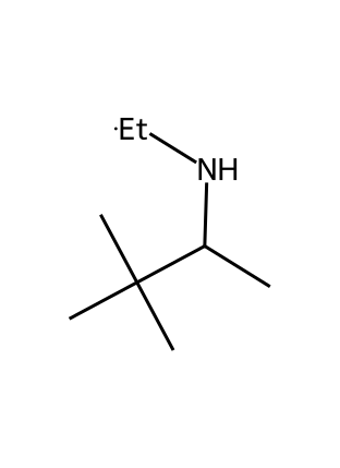 C[CH]NC(C)C(C)(C)C